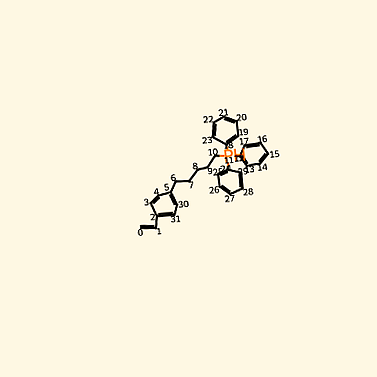 C=Cc1ccc(CCCCC[PH](c2ccccc2)(c2ccccc2)c2ccccc2)cc1